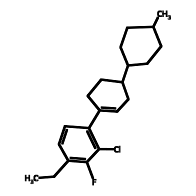 CCc1ccc(C2=CCC(C3CCC(C)CC3)CC2)c(Cl)c1F